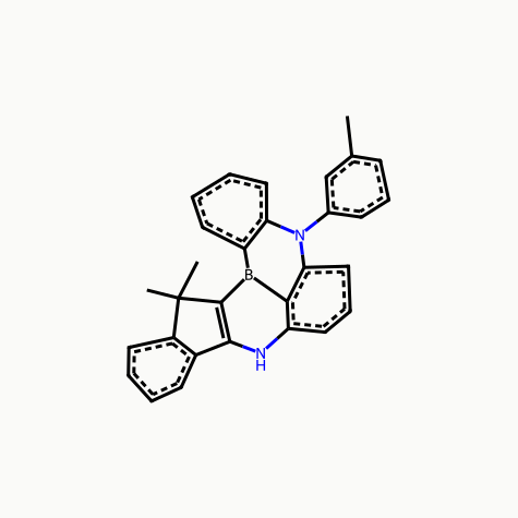 Cc1cccc(N2c3ccccc3B3C4=C(Nc5cccc2c53)c2ccccc2C4(C)C)c1